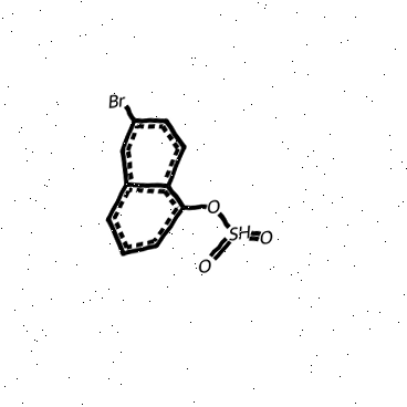 O=[SH](=O)Oc1cccc2cc(Br)ccc12